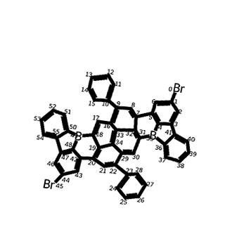 Brc1cc2c3c(c1)-c1cc(-c4ccccc4)c4cc5c6c(cc(-c7ccccc7)c7cc(c1c4c76)B3c1ccccc1-2)-c1cc(Br)cc2c1B5c1ccccc1-2